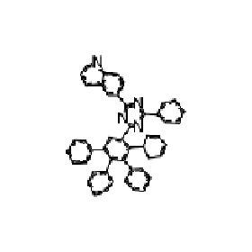 C1=CCC(c2c(-c3nc(-c4ccccc4)nc(-c4ccc5ncccc5c4)n3)cc(-c3ccccc3)c(-c3ccccc3)c2-c2ccccc2)C=C1